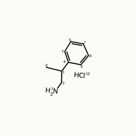 CC(CN)c1ccccc1.Cl